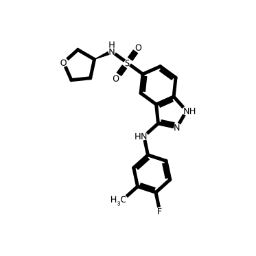 Cc1cc(Nc2n[nH]c3ccc(S(=O)(=O)N[C@H]4CCOC4)cc23)ccc1F